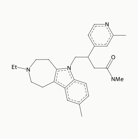 CCN1CCc2c(n(CC(CC(=O)NC)c3ccnc(C)c3)c3ccc(C)cc23)CC1